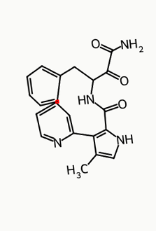 Cc1c[nH]c(C(=O)NC(Cc2ccccc2)C(=O)C(N)=O)c1-c1ccccn1